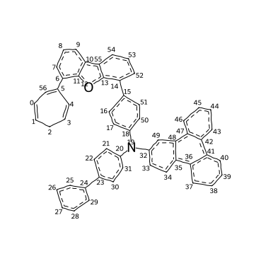 C1=CCC=CC(c2cccc3c2oc2c(-c4ccc(N(c5ccc(-c6ccccc6)cc5)c5ccc6c7ccccc7c7ccccc7c6c5)cc4)cccc23)=C1